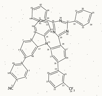 N#Cc1ccc(-c2ccc3c4ccccc4n(-c4cc(-c5cccc(C(F)(F)F)c5)ccc4-c4nc(-c5ccccc5)nc(-c5ccccc5)n4)c3c2)cc1